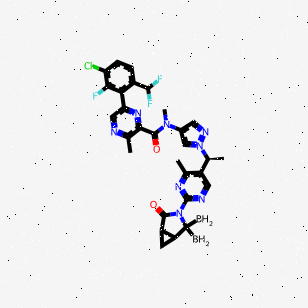 BC1(B)C2CC2C(=O)N1c1ncc([C@H](C)n2cc(N(C)C(=O)c3nc(-c4c(C(F)F)ccc(Cl)c4F)cnc3C)cn2)c(C)n1